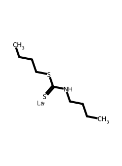 CCCCNC(=S)SCCCC.[La]